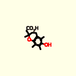 Cc1c(C)c2c(c(C)c1O)CCC(C)(CC(=O)O)O2